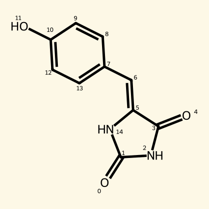 O=C1NC(=O)C(=Cc2ccc(O)cc2)N1